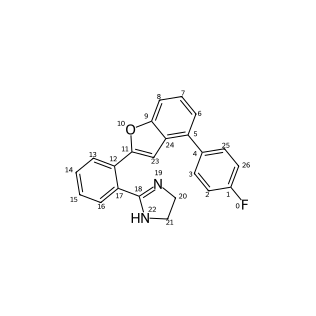 Fc1ccc(-c2cccc3oc(-c4ccccc4C4=NCCN4)cc23)cc1